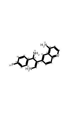 N/C=C(/c1ccc2nccc(N)c2c1)C(N)c1ccc(F)cc1